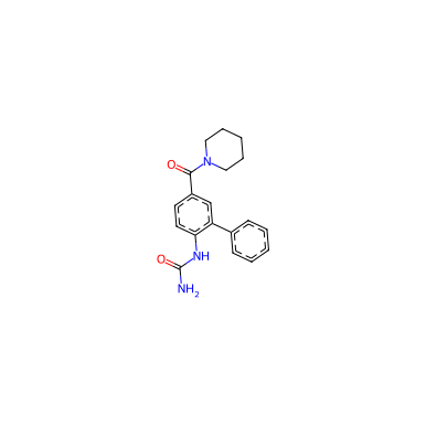 NC(=O)Nc1ccc(C(=O)N2CCCCC2)cc1-c1ccccc1